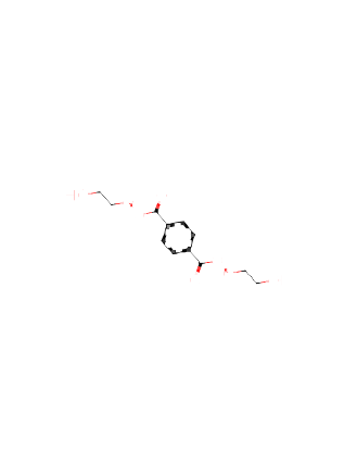 O=C(OOCCO)c1ccc(C(=O)OOCCO)cc1